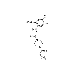 C=CC(=O)N1CCN(C(=O)CNc2cc(I)c(Cl)cc2OC)CC1